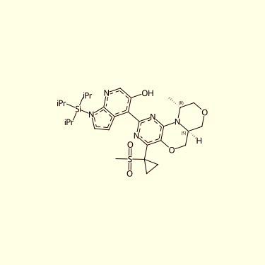 CC(C)[Si](C(C)C)(C(C)C)n1ccc2c(-c3nc4c(c(C5(S(C)(=O)=O)CC5)n3)OC[C@@H]3COC[C@@H](C)N43)c(O)cnc21